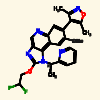 COc1cc2c(cc1-c1c(C)noc1C)ncc1nc(OCC(F)F)n([C@H](C)c3ccccn3)c12